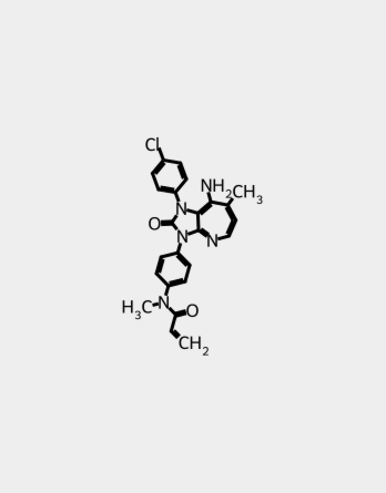 C=CC(=O)N(C)c1ccc(-n2c3c(n(-c4ccc(Cl)cc4)c2=O)=C(N)C(C)=C=CN=3)cc1